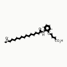 C[S+]([O-])CCCCCCCCCCCCCC(=O)Nc1ccccc1OCCCC(=O)O